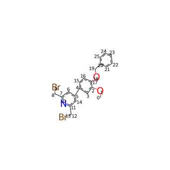 COc1cc(-c2cc(CBr)nc(CBr)c2)ccc1OCc1ccccc1